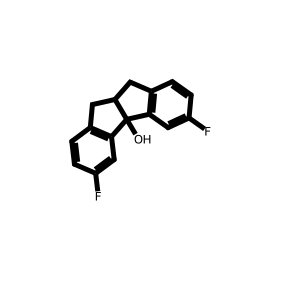 OC12c3cc(F)ccc3CC1Cc1ccc(F)cc12